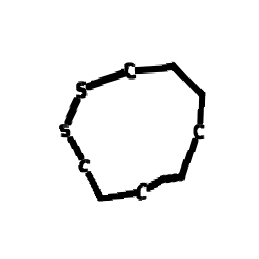 [CH]1CCCCCCCSS1